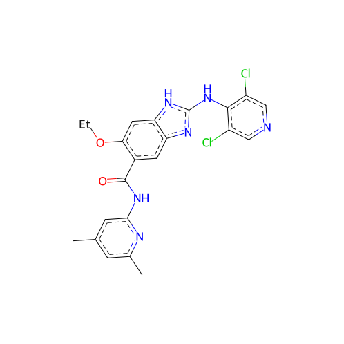 CCOc1cc2[nH]c(Nc3c(Cl)cncc3Cl)nc2cc1C(=O)Nc1cc(C)cc(C)n1